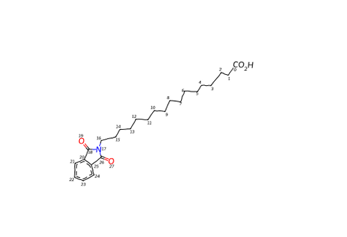 O=C(O)CCCCCCCCCCCCCCCCN1C(=O)c2ccccc2C1=O